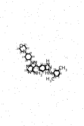 Cc1ccc(C)c(Nc2n[nH]c3cc(-c4nn([C@H]5CC[C@H](N6CCOCC6)CC5)c5ncnc(N)c45)ccc23)c1